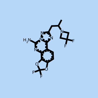 CC(Cc1nc2c3ccc4c(c3nc(N)n2n1)OC(F)(F)O4)N1CC(F)(F)C1